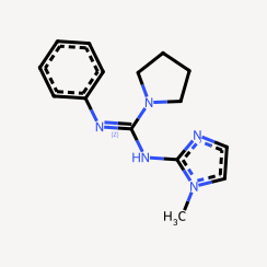 Cn1ccnc1N/C(=N/c1ccccc1)N1CCCC1